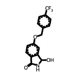 O=C1NC(O)c2cc(OCc3ccc(C(F)(F)F)cc3)ccc21